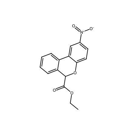 CCOC(=O)C1Oc2ccc([N+](=O)[O-])cc2-c2ccccc21